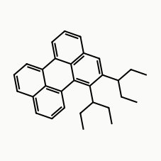 CCC(CC)c1cc2cccc3c4cccc5cccc(c(c1C(CC)CC)c23)c54